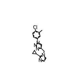 Cc1cc(-n2cc(Cn3ccnc3C3CC3)nn2)ccc1Cl